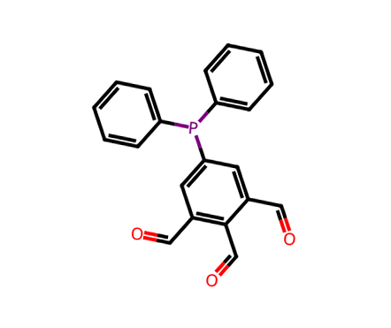 O=Cc1cc(P(c2ccccc2)c2ccccc2)cc(C=O)c1C=O